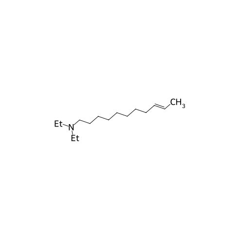 CC=CCCCCCCCCN(CC)CC